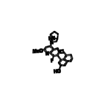 COc1cc(N2CC3CCC(C2)N3)c2cnc(-c3cc(O)cc4cccc(Cl)c34)c(F)c2n1